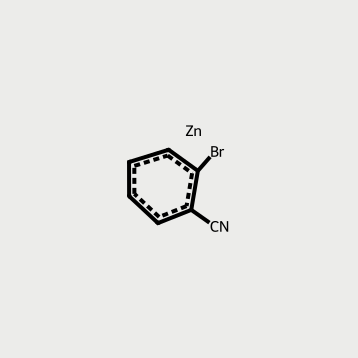 N#Cc1ccccc1Br.[Zn]